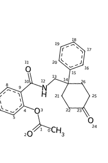 CC(=O)Oc1ccccc1C(=O)NCC1(c2ccccc2)CCC(=O)CC1